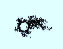 CCCCCCC[C@@H](O)CC(=O)N[C@@H](CC(C)C)C(=O)N[C@H](CCC(=O)O)C(=O)N[C@H](CCC(N)=O)C(=O)N[C@@H](C(=O)N[C@H](CC(C)C)C(=O)N[C@@H](CCC(N)=O)C(=O)N[C@@H]1COC(=O)[C@H]([C@@H](C)CC)NC(=O)[C@@H](CCC(N)=O)NC(=O)[C@H](C)NC(=O)[C@H](CC(C)C)NC(=O)[C@@H](/C=C/C(N)=O)NC(=O)C(CC(C)C)NC(=O)[C@@H](C(C)C)NC1=O)C(C)C